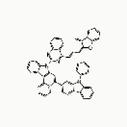 C=c1/c(=C\C=C\c2nc(-n3c4ccccc4c4c5ccccc5c(-c5ccc6c7ccccc7n(-c7ccccc7)c6c5)cc43)nc3ccccc23)oc2ccccc12